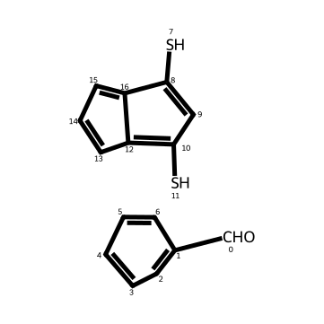 O=Cc1ccccc1.SC1=CC(S)=C2C=CC=C12